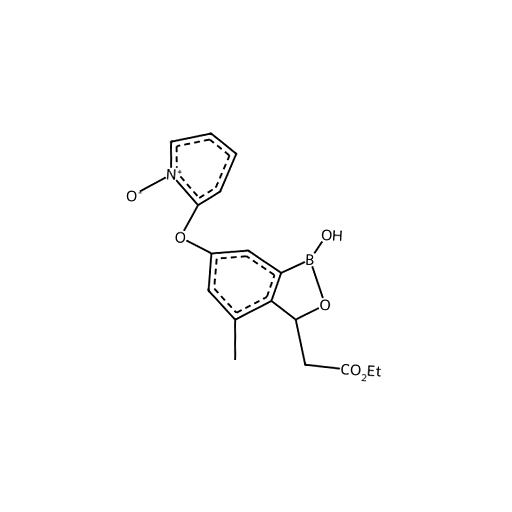 CCOC(=O)CC1OB(O)c2cc(Oc3cccc[n+]3[O-])cc(C)c21